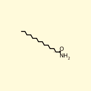 CCCCCCCCCCCC[CH]C(N)=O